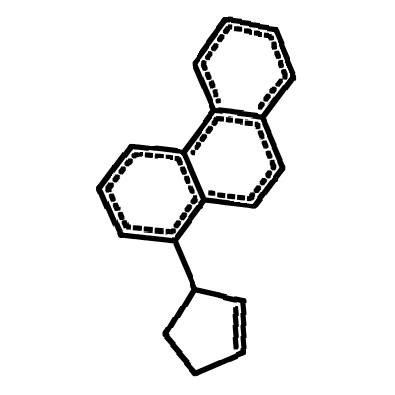 C1=CC(c2cccc3c2ccc2ccccc23)CC1